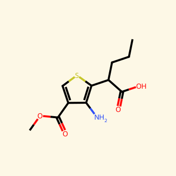 CCCC(C(=O)O)c1scc(C(=O)OC)c1N